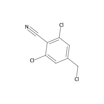 N#Cc1c(Cl)cc(CCl)cc1Cl